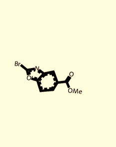 COC(=O)c1ccc2oc(Br)nc2c1